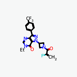 C=C(F)C(=O)N1CC(n2nc(-c3ccc(C(F)(F)F)cc3)c3ncn(CC)c(=O)c32)C1